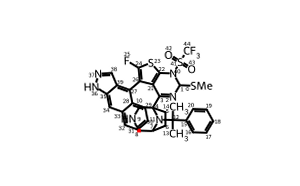 CSC1N=C(C23CCC(CNC2)N3C(C)(C)c2ccccc2)c2c(sc(F)c2-c2c3ccccc3cc3[nH]ncc23)N1S(=O)(=O)C(F)(F)F